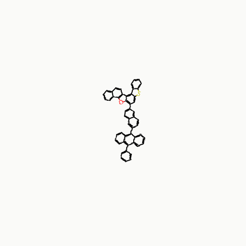 c1ccc(-c2c3ccccc3c(-c3ccc4cc(-c5cc6sc7ccccc7c6c6c5oc5c7ccccc7ccc56)ccc4c3)c3ccccc23)cc1